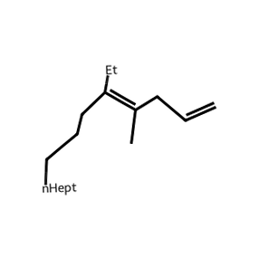 C=CCC(C)=C(CC)CCCCCCCCCC